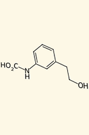 O=C(O)Nc1cccc(CCO)c1